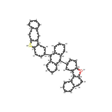 c1ccc2cc3c(cc2c1)sc1ccc(-c2c4ccccc4c(-c4ccc5oc6ccc7ccccc7c6c5c4)c4ccccc24)cc13